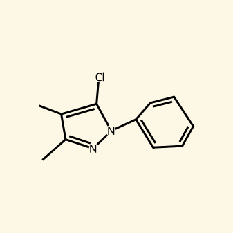 Cc1nn(-c2ccccc2)c(Cl)c1C